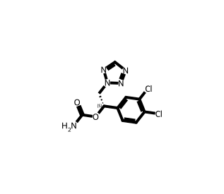 NC(=O)O[C@H](Cn1ncnn1)c1ccc(Cl)c(Cl)c1